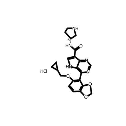 Cl.O=C(N[C@@H]1CCNC1)c1c[nH]c2c(-c3c(OCC4CC4)ccc4c3OCO4)ncnc12